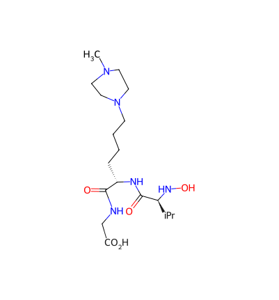 CC(C)[C@H](NO)C(=O)N[C@@H](CCCCN1CCN(C)CC1)C(=O)NCC(=O)O